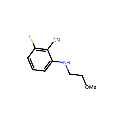 COCCNc1cccc(F)c1C#N